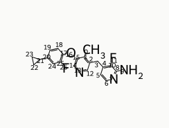 Cc1c(Cc2ccnc(N)c2F)cncc1Oc1ccc(C2CC2)cc1F